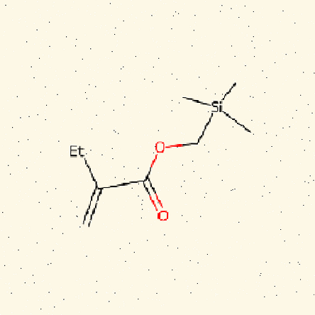 C=C(CC)C(=O)OC[Si](C)(C)C